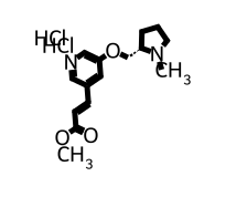 COC(=O)/C=C/c1cncc(OC[C@@H]2CCCN2C)c1.Cl.Cl